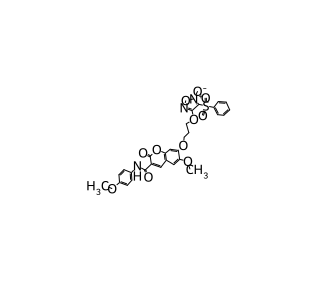 COc1ccc(NC(=O)c2cc3cc(OC)c(OCCCOc4no[n+]([O-])c4S(=O)(=O)c4ccccc4)cc3oc2=O)cc1